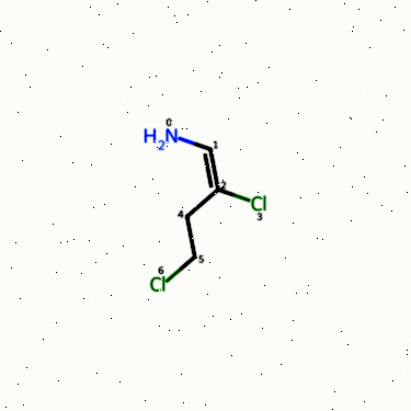 N/C=C(/Cl)CCCl